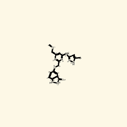 COCc1cc(Nc2cc(C)[nH]n2)nc(COc2ccc3[nH][nH]c(=O)c3c2)n1